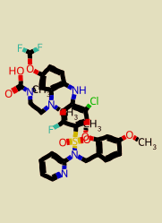 COc1ccc(CN(c2ccccn2)S(=O)(=O)c2cc(Cl)c(Nc3ccc(OC(F)F)cc3N(C)CCN(C)C(=O)O)cc2F)c(OC)c1